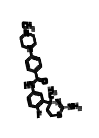 CN1CCN(c2ccc(C(=O)Nc3ccc(F)c(C4(C)CCSC(N)=N4)c3)cc2)CC1